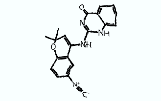 [C-]#[N+]c1ccc2c(c1)C(Nc1nc(=O)c3ccccc3[nH]1)=CC(C)(C)O2